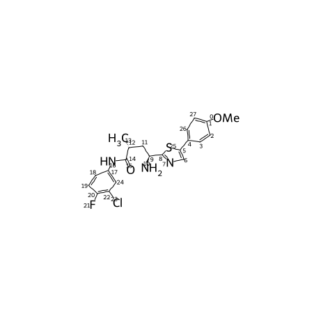 COc1ccc(-c2cnc([C@@H](N)C[C@@H](C)C(=O)Nc3ccc(F)c(Cl)c3)s2)cc1